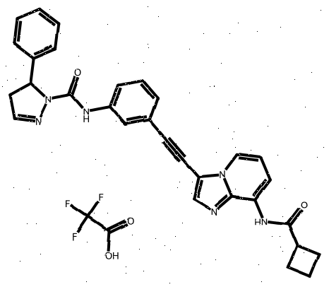 O=C(Nc1cccn2c(C#Cc3cccc(NC(=O)N4N=CCC4c4ccccc4)c3)cnc12)C1CCC1.O=C(O)C(F)(F)F